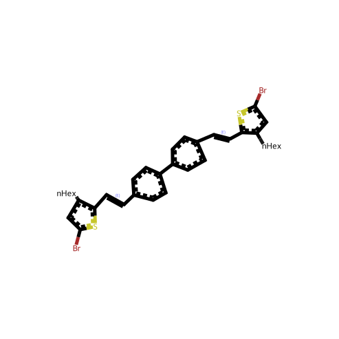 CCCCCCc1cc(Br)sc1/C=C/c1ccc(-c2ccc(/C=C/c3sc(Br)cc3CCCCCC)cc2)cc1